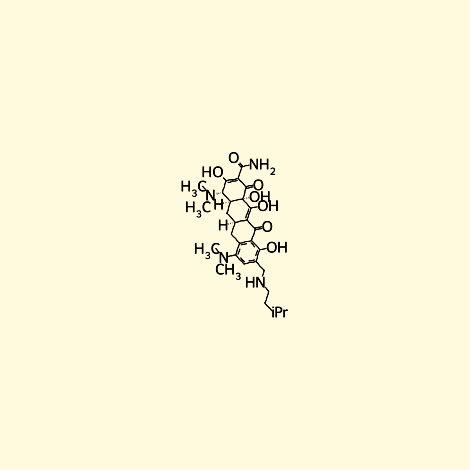 CC(C)CCNCc1cc(N(C)C)c2c(c1O)C(=O)C1=C(O)[C@]3(O)C(=O)C(C(N)=O)=C(O)[C@@H](N(C)C)[C@@H]3C[C@@H]1C2